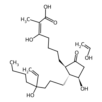 C=CC(O)(CCCC)CCC[C@H]1[C@H](O)CC(=O)[C@@H]1CCCCC(O)=C(C)C(=O)O.C=CO